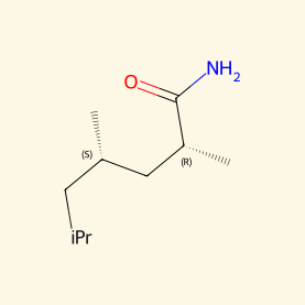 CC(C)C[C@H](C)C[C@@H](C)C(N)=O